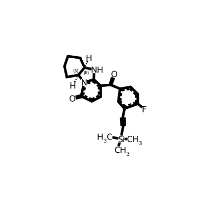 C[Si](C)(C)C#Cc1cc(C(=O)c2ccc(=O)n3c2N[C@@H]2CCCC[C@@H]23)ccc1F